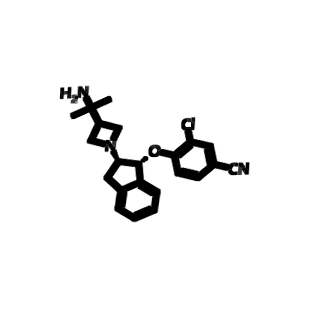 CC(C)(N)C1CN([C@@H]2Cc3ccccc3[C@H]2Oc2ccc(C#N)cc2Cl)C1